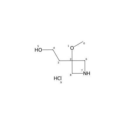 COC1(CCO)CNC1.Cl